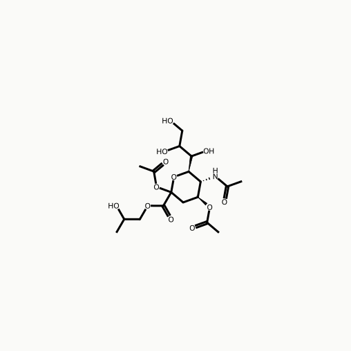 CC(=O)N[C@@H]1[C@@H](OC(C)=O)CC(OC(C)=O)(C(=O)OCC(C)O)O[C@H]1C(O)C(O)CO